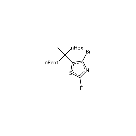 CCCCCCC(C)(CCCCC)c1sc(F)nc1Br